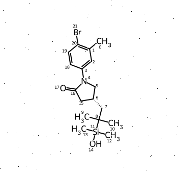 Cc1cc(N2C[C@H](CC(C)(C)[Si](C)(C)O)CC2=O)ccc1Br